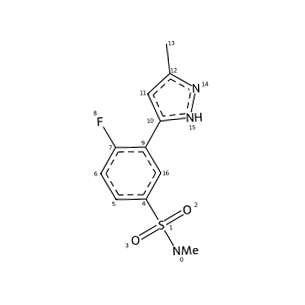 CNS(=O)(=O)c1ccc(F)c(-c2cc(C)n[nH]2)c1